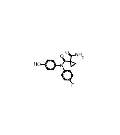 NC(=O)C1(C(=O)N(c2ccc(O)cc2)c2ccc(F)cc2)CC1